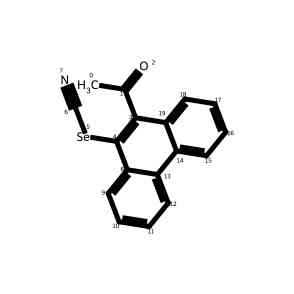 CC(=O)c1c([Se]C#N)c2ccccc2c2ccccc12